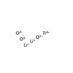 [Li+].[Li+].[O-2].[O-2].[O-2].[Ti+4]